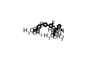 CC(C)OC(=O)N1CCC(Oc2ccc(-c3ccc(C[C@H](NC(=O)OC(C)(C)C)C(=O)N4CCC[C@H]4C#N)c(F)c3)cc2)CC1